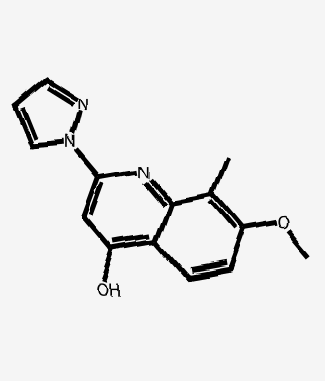 COc1ccc2c(O)cc(-n3cccn3)nc2c1C